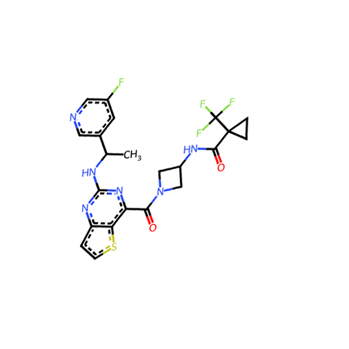 CC(Nc1nc(C(=O)N2CC(NC(=O)C3(C(F)(F)F)CC3)C2)c2sccc2n1)c1cncc(F)c1